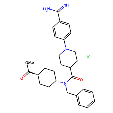 COC(=O)[C@H]1CC[C@H](N(Cc2ccccc2)C(=O)C2CCN(c3ccc(C(=N)N)cc3)CC2)CC1.Cl